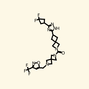 O=C(N1CC2(CC(c3nc(C4CC(F)(F)C4)n[nH]3)C2)C1)N1CC2(CN(Cc3cc(C(F)(F)F)no3)C2)C1